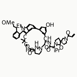 C=CC(=O)N1CC[C@@]2(CCN([C@H](C(=O)N[C@H]3Cc4cc(O)cc(c4)-c4ccc5c(c4)c(c(-c4ccccc4CCOC)n5CC)CC(C)(C)COC(=O)[C@@]4(O)CCCN(N4)C3=O)C(C)C)C2=O)C1